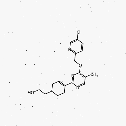 Cc1cnc(C2=CCC(CCO)CC2)nc1OCc1ccc(Cl)cn1